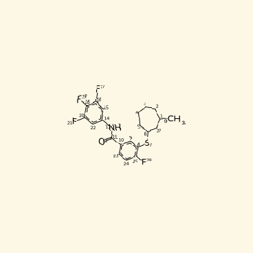 CC1CCCCC(Sc2cc(C(=O)Nc3cc(F)c(F)c(F)c3)ccc2F)C1